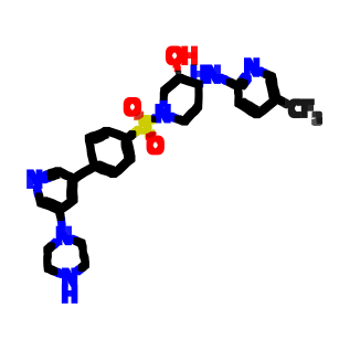 O=S(=O)(c1ccc(-c2cncc(N3CCNCC3)c2)cc1)N1CC[C@@H](Nc2ccc(C(F)(F)F)cn2)[C@@H](O)C1